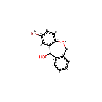 OC1c2ccccc2COc2ccc(Br)cc21